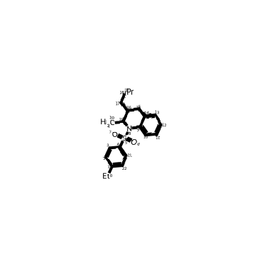 CCc1ccc(S(=O)(=O)N2c3ccccc3CC(CC(C)C)C2C)cc1